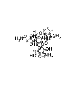 CC(=O)NC(C(OC1=CCC[C@@H](CN)O1)C(C)N)[C@@H](O[C@H]1OC(CO)[C@@H](O)[C@H](N)C1O)[C@@H](C)NC(=O)[C@@H](O)CCN